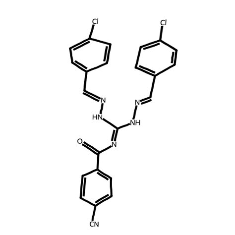 N#Cc1ccc(C(=O)N=C(NN=Cc2ccc(Cl)cc2)NN=Cc2ccc(Cl)cc2)cc1